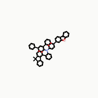 CC1(C)c2ccccc2-c2c(-c3ccccc3N(c3ccc(-c4ccc5c(c4)oc4ccccc45)cc3)c3ccc(-c4ccccc4)cc3-c3ccccc3)cccc21